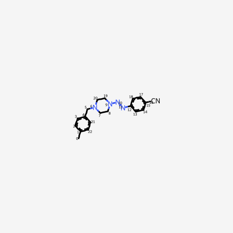 Cc1ccc(CN2CCN(N=Nc3ccc(C#N)cc3)CC2)cc1